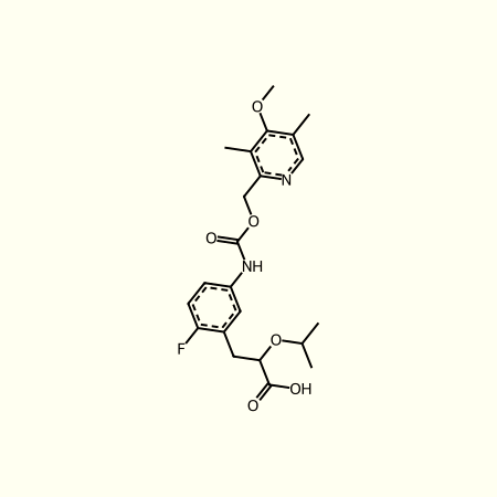 COc1c(C)cnc(COC(=O)Nc2ccc(F)c(CC(OC(C)C)C(=O)O)c2)c1C